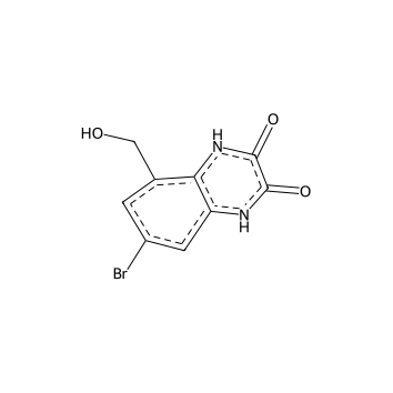 O=c1[nH]c2cc(Br)cc(CO)c2[nH]c1=O